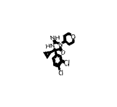 N=C1NC(c2ccc(Cl)c(Cl)c2)(C2CC2)C(=O)N1C1CCOCC1